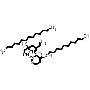 CCC(C)CC(C)(C)CC.CCCCCCCCCCCC.CCCCCCCCCCCCCC.O=C1CCSSC1